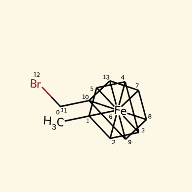 C[C]12[CH]3[CH]4[CH]5[CH]1[Fe]45321678[CH]2[CH]1[CH]6[C]7(CBr)[CH]28